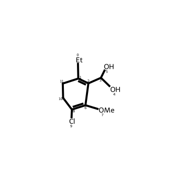 CCC1=C(C(O)O)C(OC)=C(Cl)CC1